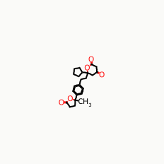 CC1(c2ccc(CCC3(C4CCCC4)CC(=O)CC(=O)O3)cc2)CCC(=O)O1